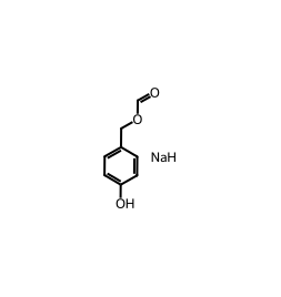 O=COCc1ccc(O)cc1.[NaH]